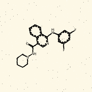 O=C(NN1CCCCC1)c1cnc(Nc2cc(F)cc(F)c2)c2ccccc12